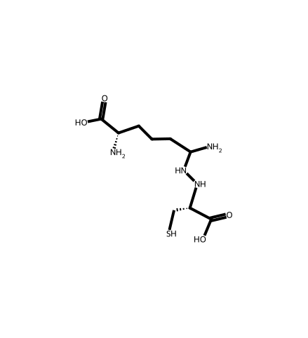 NC(CCC[C@H](N)C(=O)O)NN[C@@H](CS)C(=O)O